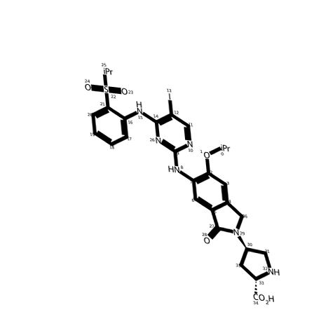 CC(C)Oc1cc2c(cc1Nc1ncc(I)c(Nc3ccccc3S(=O)(=O)C(C)C)n1)C(=O)N([C@H]1CN[C@H](C(=O)O)C1)C2